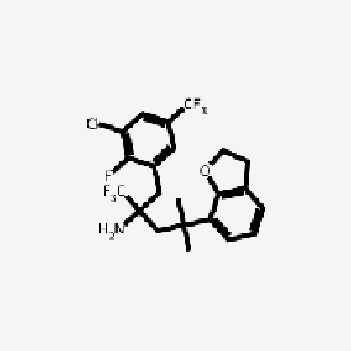 CC(C)(CC(N)(Cc1cc(C(F)(F)F)cc(Cl)c1F)C(F)(F)F)c1cccc2c1OCC2